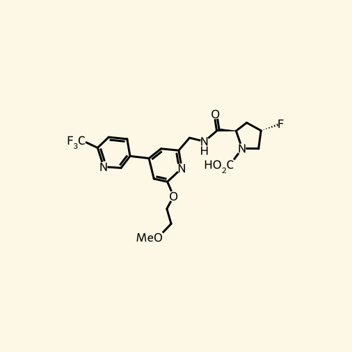 COCCOc1cc(-c2ccc(C(F)(F)F)nc2)cc(CNC(=O)[C@H]2C[C@H](F)CN2C(=O)O)n1